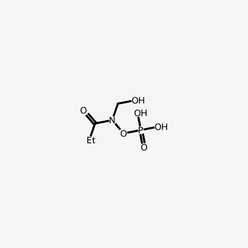 CCC(=O)N(CO)OP(=O)(O)O